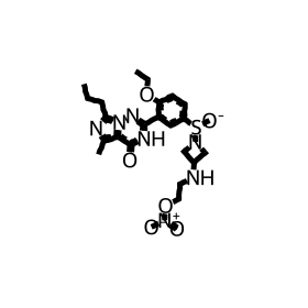 CCCc1nc(C)c2c(=O)[nH]c(-c3cc([S+]([O-])N4CC(NCCO[N+](=O)[O-])C4)ccc3OCC)nn12